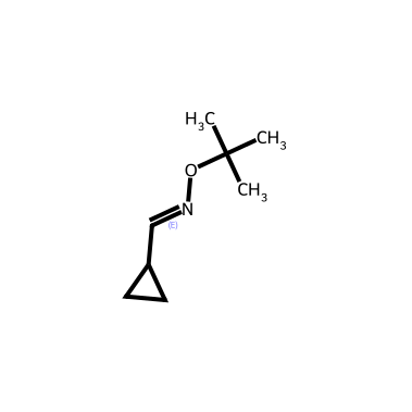 CC(C)(C)O/N=C/C1CC1